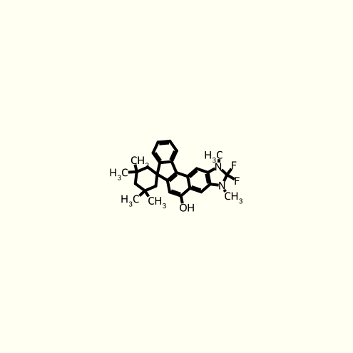 CN1c2cc3c(O)cc4c(c3cc2N(C)C1(F)F)-c1ccccc1C41CC(C)(C)CC(C)(C)C1